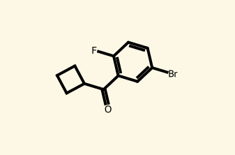 O=C(c1cc(Br)ccc1F)C1CCC1